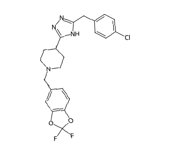 FC1(F)Oc2ccc(CN3CCC(c4nnc(Cc5ccc(Cl)cc5)[nH]4)CC3)cc2O1